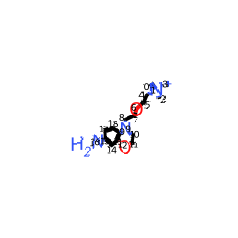 C[N+](C)(C)CCOCCN1CCOc2cc(N)ccc21